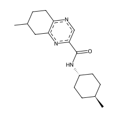 CC1CCc2ncc(C(=O)N[C@H]3CC[C@H](C)CC3)nc2C1